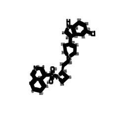 O=S(=O)(c1cncc2ccccc12)N1CC[C@@H]1CCN1CC=C(c2c[nH]c3ccc(Cl)cc23)CC1